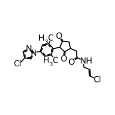 Cc1cc(-n2cc(Cl)cn2)cc(C)c1C1C(=O)CC(CC(=O)NC/C=C/Cl)C1=O